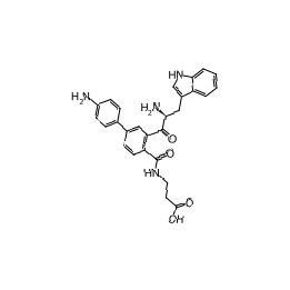 Nc1ccc(-c2ccc(C(=O)NCCC(=O)O)c(C(=O)[C@@H](N)Cc3c[nH]c4ccccc34)c2)cc1